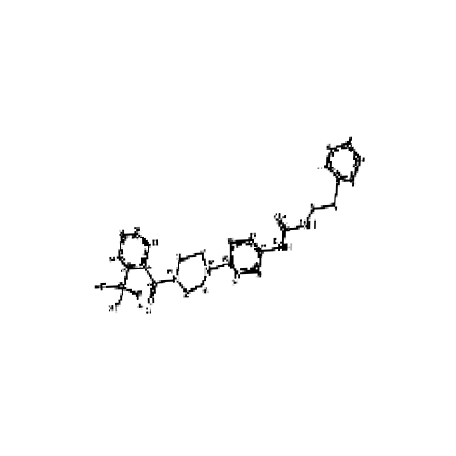 O=C(NCCc1ccccc1)Nc1ccc(N2CCN(C(=O)c3ccccc3C(F)(F)F)CC2)nc1